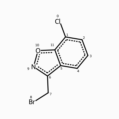 Clc1cccc2c(CBr)noc12